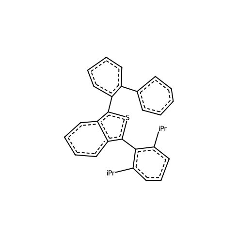 CC(C)c1cccc(C(C)C)c1-c1sc(-c2ccccc2-c2ccccc2)c2ccccc12